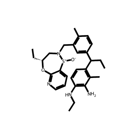 CCNc1ccc(C(CC)c2ccc(C)c(CN3C[C@@H](CC)Oc4ncccc4[S+]3[O-])c2)c(C)c1N